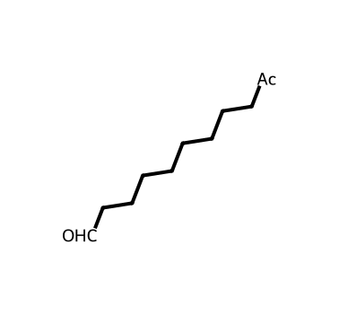 CC(=O)CCCCCCCCC=O